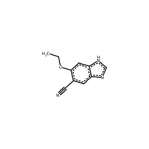 CCOc1cc2[nH]cnc2cc1C#N